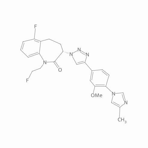 COc1cc(-c2cn([C@H]3CCc4c(F)cccc4N(CCF)C3=O)nn2)ccc1-n1cnc(C)c1